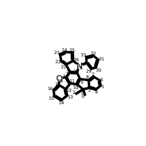 CC1(C)c2ccccc2-c2c1c1c3ccccc3oc1c1c3ccccc3n(-c3ccccc3)c21